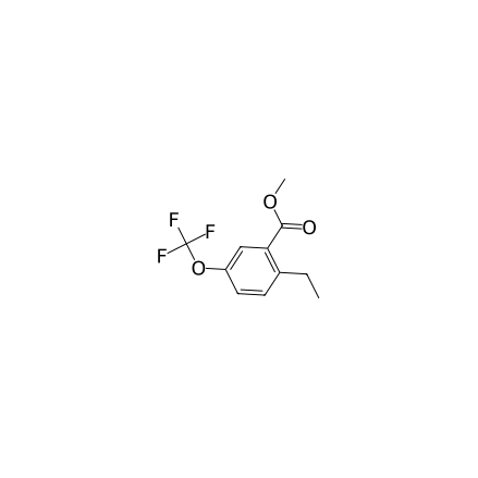 CCc1ccc(OC(F)(F)F)cc1C(=O)OC